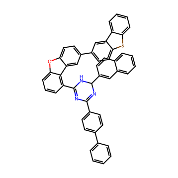 c1ccc(-c2ccc(C3=NC(c4ccc5ccccc5c4)NC(c4cccc5oc6ccc(-c7ccc8sc9ccccc9c8c7)cc6c45)=N3)cc2)cc1